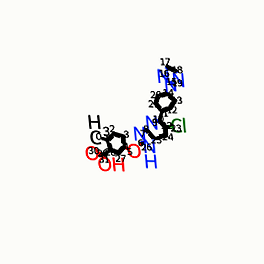 Cc1ccc(Oc2nc3nc(-c4ccc(-n5nccn5)cc4)c(Cl)cc3[nH]2)cc1C(=O)O